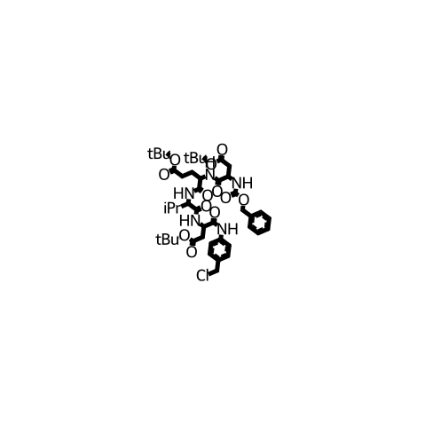 CC(C)C(NC(=O)C(CCC(=O)OC(C)(C)C)NC(=O)C(CC(=O)OC(C)(C)C)NC(=O)OCc1ccccc1)C(=O)NC(CC(=O)OC(C)(C)C)C(=O)Nc1ccc(CCl)cc1